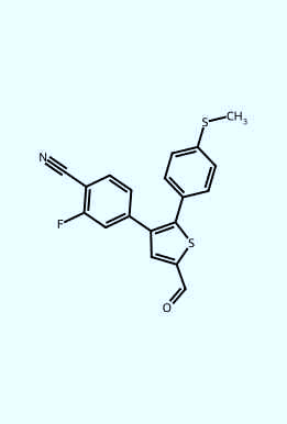 CSc1ccc(-c2sc(C=O)cc2-c2ccc(C#N)c(F)c2)cc1